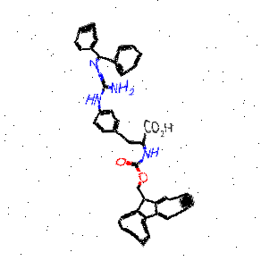 N/C(=N\C(c1ccccc1)c1ccccc1)Nc1ccc(CC(NC(=O)OCC2c3ccccc3-c3ccccc32)C(=O)O)cc1